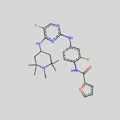 CN1C(C)(C)CC(Nc2nc(Nc3ccc(NC(=O)c4ccco4)c(Cl)c3)ncc2F)CC1(C)C